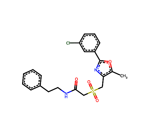 Cc1oc(-c2cccc(Cl)c2)nc1CS(=O)(=O)CC(=O)NCCc1ccccc1